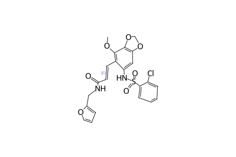 COc1c(/C=C/C(=O)NCc2ccco2)c(NS(=O)(=O)c2ccccc2Cl)cc2c1OCO2